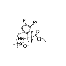 CCOC(=O)C(F)(F)C(C)(N[S@+]([O-])C(C)(C)C)c1cc(Br)c(F)cc1F